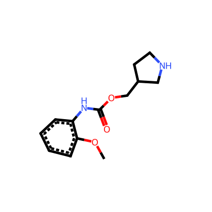 COc1ccccc1NC(=O)OCC1CCNC1